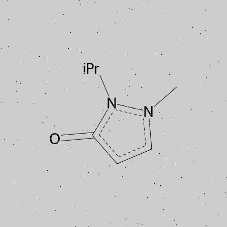 CC(C)n1c(=O)ccn1C